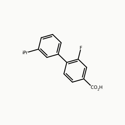 CC(C)c1cccc(-c2ccc(C(=O)O)cc2F)c1